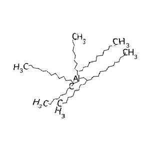 CCCCCCCCCCCCC(CCCCCCCC)[CH2][Al]([CH2]C(CCCCCCCC)CCCCCCCCCCCC)[CH2]C(CCCCCCCC)CCCCCCCCCCCC